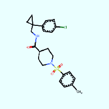 Cc1ccc(S(=O)(=O)N2CCC(C(=O)NCC3(c4ccc(Cl)cc4)CC3)CC2)cc1